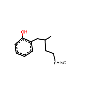 CCCCCCCCCC(C)Cc1ccccc1O